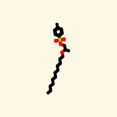 CCCCCCCCCCCCOC(C)COS(=O)(=O)c1ccc(C)cc1